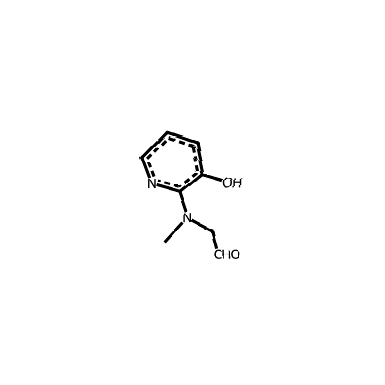 CN(CC=O)c1ncccc1O